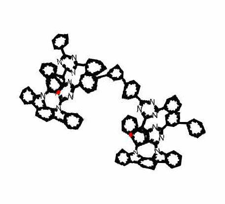 c1ccc(-c2cccc(-c3nc(-c4ccccc4)nc(-n4c5ccccc5c5ccc6c7ccccc7n(-c7ccc(-c8nc(-c9ccccc9)nc(-c9ccc(-c%10cccc(-c%11ccc(-c%12nc(-c%13ccccc%13)nc(-n%13c%14ccccc%14c%14ccc%15c%16ccccc%16n(-c%16ccc(-c%17nc(-c%18ccccc%18)nc(-c%18ccccc%18)n%17)cc%16)c%15c%14%13)n%12)cc%11)c%10)cc9)n8)cc7)c6c54)n3)c2)cc1